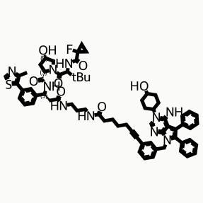 Cc1ncsc1-c1cccc([C@H](CC(=O)NCCCNC(=O)CCCCC#Cc2cccc(Cn3c(-c4ccccc4)c(-c4ccccc4)c4c(=N)n(C5CCC(O)CC5)cnc43)c2)NC(=O)[C@@H]2C[C@@H](O)CN2C(=O)C(NC(=O)C2(F)CC2)C(C)(C)C)c1